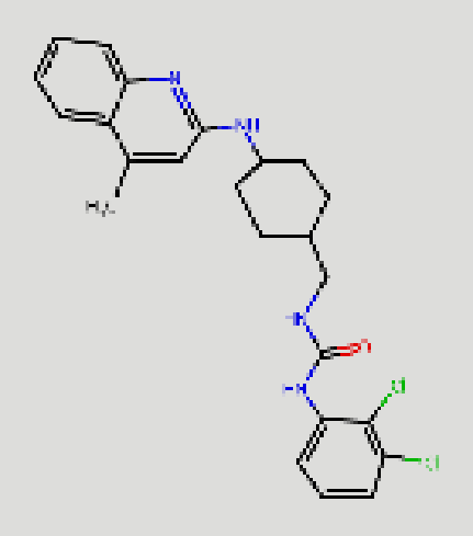 Cc1cc(NC2CCC(CNC(=O)Nc3cccc(Cl)c3Cl)CC2)nc2ccccc12